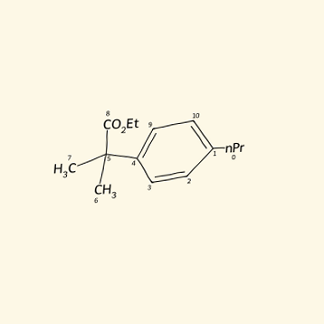 CCCc1ccc(C(C)(C)C(=O)OCC)cc1